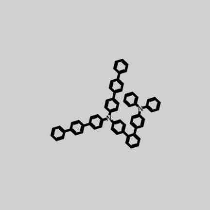 c1ccc(-c2ccc(-c3ccc(N(c4ccc(-c5ccc(-c6ccccc6)cc5)cc4)c4ccc(-c5ccccc5-c5ccc(N(c6ccccc6)c6ccccc6)cc5)cc4)cc3)cc2)cc1